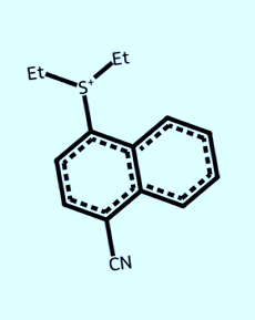 CC[S+](CC)c1ccc(C#N)c2ccccc12